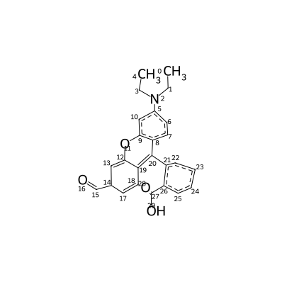 CCN(CC)c1ccc2c(c1)OC1=CC(C=O)C=CC1=C2c1ccccc1C(=O)O